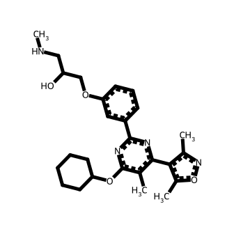 CNCC(O)COc1cccc(-c2nc(OC3CCCCC3)c(C)c(-c3c(C)noc3C)n2)c1